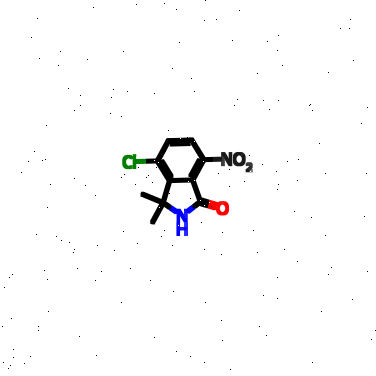 CC1(C)NC(=O)c2c([N+](=O)[O-])ccc(Cl)c21